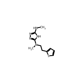 CNc1nnc(N(C)CCc2cccs2)[nH]1